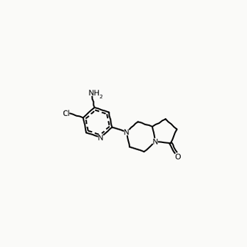 Nc1cc(N2CCN3C(=O)CCC3C2)ncc1Cl